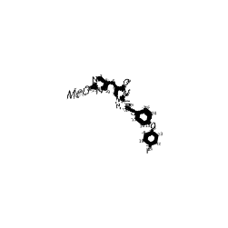 COc1ncc(Cc2c[nH]c(SCc3ccc(Oc4ccc(F)cc4)cc3)nc2=O)cn1